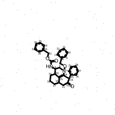 O=C(NC1C[N+]2(OCc3ccccc3)C3=C4C(CCCC41)CC(=O)C3c1ccccc12)OCc1ccccc1